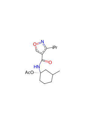 CC(=O)O[C@@]1(NC(=O)c2conc2C(C)C)CCCC(C)C1